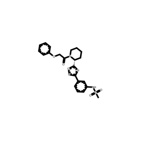 CS(=O)(=O)Nc1cccc(-c2noc([C@H]3CCCCN3C(=O)COc3ccccc3)n2)c1